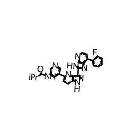 CC(C)C(=O)Nc1cncc(-c2ccc3[nH]nc(-c4nc5c(-c6ccccc6F)ccnc5[nH]4)c3n2)c1